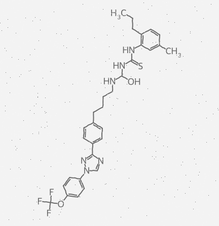 CCCc1ccc(C)cc1NC(=S)NC(O)NCCCCc1ccc(-c2ncn(-c3ccc(OC(F)(F)F)cc3)n2)cc1